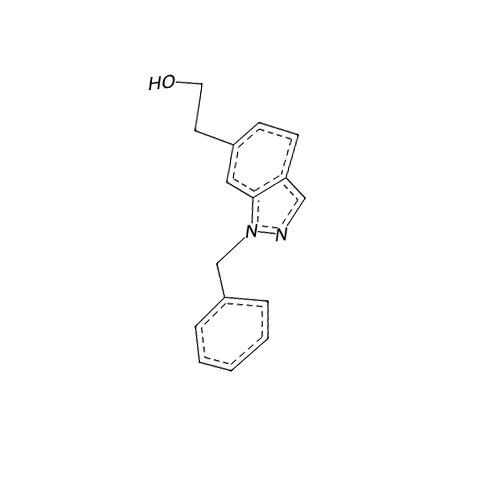 OCCc1ccc2cnn(Cc3ccccc3)c2c1